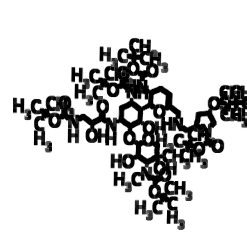 CN(C(=O)OC(C)(C)C)[C@@H]1[C@@H](O)[C@@H](O[C@@H]2[C@@H](O)[C@H](C3OC(CNC[C@H]4C[C@H](O[Si](C)(C)C(C)(C)C)CN4C(=O)OC(C)(C)C)=CC[C@H]3NC(=O)OC(C)(C)C)[C@@H](NC(=O)OC(C)(C)C)C[C@H]2NC(=O)[C@@H](O)CNC(=O)OC(C)(C)C)OC[C@]1(C)O